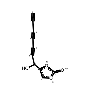 C#CC#CC#CC(O)c1coc(=O)o1